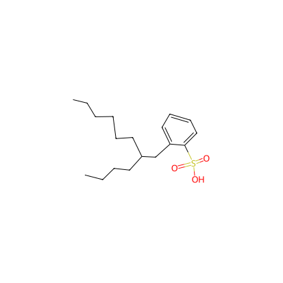 CCCCCCC(CCCC)Cc1ccccc1S(=O)(=O)O